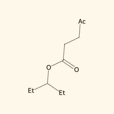 CCC(CC)OC(=O)CCC(C)=O